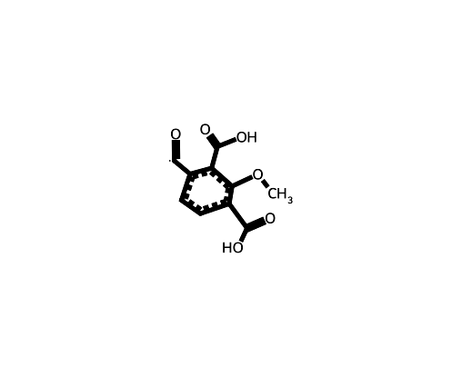 COc1c(C(=O)O)ccc([C]=O)c1C(=O)O